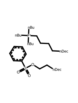 CCCCCCCCCCCCCC[P+](CCCC)(CCCC)CCCC.CCCCCCCCCCCCOS(=O)(=O)c1ccccc1